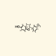 COc1cccc(C2CCc3cc(O)ccc3O2)c1